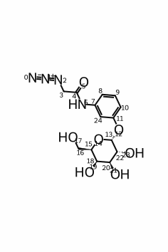 [N-]=[N+]=NCC(=O)Nc1cccc(O[C@H]2O[C@H](CO)[C@H](O)[C@H](O)[C@H]2O)c1